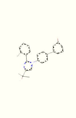 CC(C)(O)c1cn(-c2ccc(-c3cccc(O)c3)cc2)c(-c2ccccc2C(F)(F)F)n1